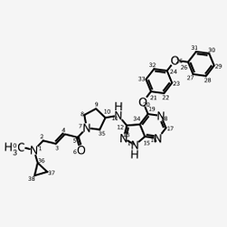 CN(C/C=C/C(=O)N1CCC(Nc2n[nH]c3ncnc(Oc4ccc(Oc5ccccc5)cc4)c23)C1)C1CC1